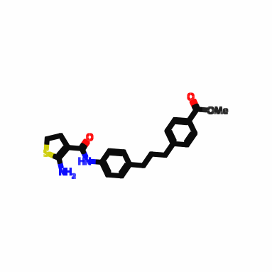 COC(=O)c1ccc(CCCc2ccc(NC(=O)C3=C(N)SCC3)cc2)cc1